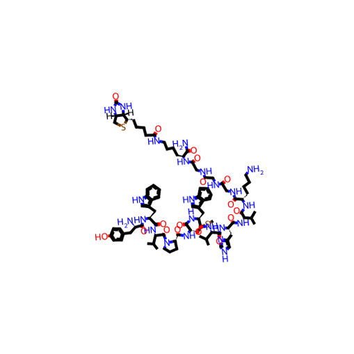 CSCC[C@H](NC(=O)[C@@H]1CCCN1C(=O)[C@@H](NC(=O)[C@H](Cc1c[nH]c2ccccc12)NC(=O)[C@@H](N)Cc1ccc(O)cc1)C(C)C)C(=O)N[C@@H](Cc1c[nH]c2ccccc12)C(=O)N[C@H](C(=O)N[C@@H](Cc1c[nH]cn1)C(=O)N[C@H](C(=O)N[C@@H](CCCCN)C(=O)NCC(=O)NCC(=O)NCC(=O)N[C@@H](CCCCNC(=O)CCCC[C@@H]1SC[C@@H]2NC(=O)N[C@@H]21)C(N)=O)C(C)C)C(C)C